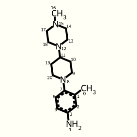 Cc1cc(N)[c]cc1N1CCC(N2CCN(C)CC2)CC1